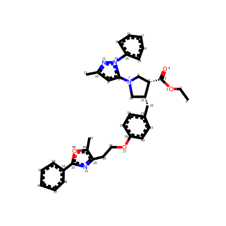 CCOC(=O)[C@H]1CN(c2cc(C)nn2-c2ccccc2)C[C@H]1Cc1ccc(OCCc2nc(-c3ccccc3)oc2C)cc1